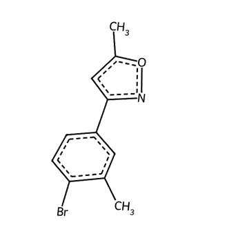 Cc1cc(-c2ccc(Br)c(C)c2)no1